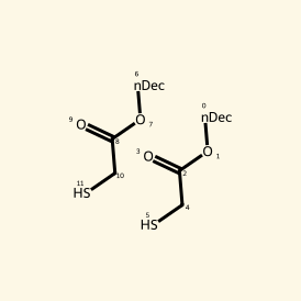 CCCCCCCCCCOC(=O)CS.CCCCCCCCCCOC(=O)CS